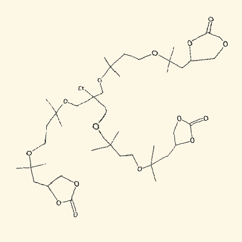 CCC(COC(C)(C)CCOC(C)(C)CC1COC(=O)O1)(COC(C)(C)CCOC(C)(C)CC1COC(=O)O1)COC(C)(C)CCOC(C)(C)CC1COC(=O)O1